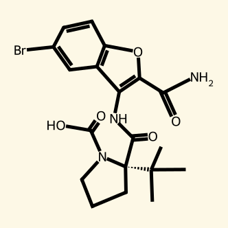 CC(C)(C)[C@]1(C(=O)Nc2c(C(N)=O)oc3ccc(Br)cc23)CCCN1C(=O)O